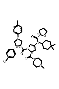 Cc1ccc(N2C[C@@H](C(=O)N3C[C@@H](N(C(=O)[C@@H]4CCCO4)C4CCC(C)(C)CC4)C[C@H]3C(=O)N3CCN(C)CC3)[C@H](c3ccc(Cl)cc3)C2)nn1